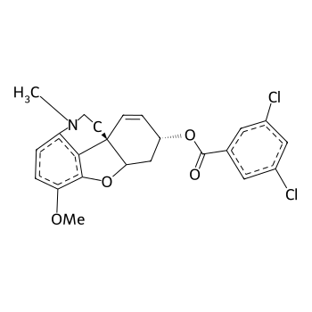 COc1ccc2c3c1OC1C[C@@H](OC(=O)c4cc(Cl)cc(Cl)c4)C=C[C@@]31CCN2C